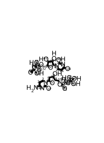 Nc1ccn([C@H]2C[C@H](O)C(CO[PH](=O)O)O2)c(=O)n1.O=P(O)(O)O.O=c1ccn([C@@H]2O[C@H](COP(=O)(O)O[PH](=O)O)[C@H](O)[C@H]2O)c(=O)[nH]1